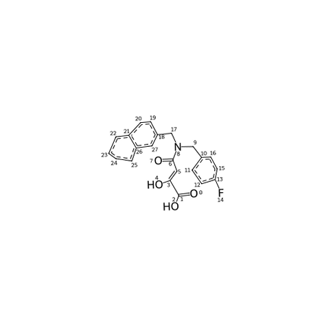 O=C(O)C(O)=CC(=O)N(Cc1ccc(F)cc1)Cc1ccc2ccccc2c1